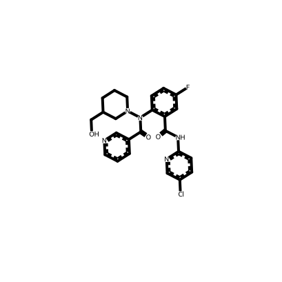 O=C(Nc1ccc(Cl)cn1)c1cc(F)ccc1N(C(=O)c1cccnc1)N1CCCC(CO)C1